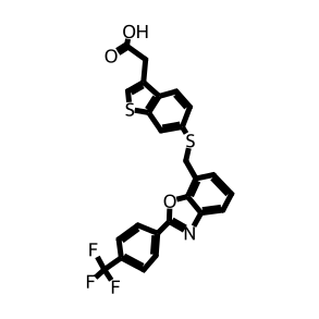 O=C(O)Cc1csc2cc(SCc3cccc4nc(-c5ccc(C(F)(F)F)cc5)oc34)ccc12